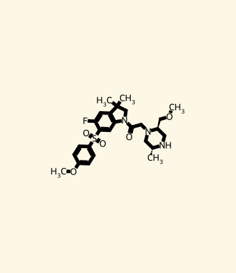 COC[C@H]1CN[C@H](C)CN1CC(=O)N1CC(C)(C)c2cc(F)c(S(=O)(=O)c3ccc(OC)cc3)cc21